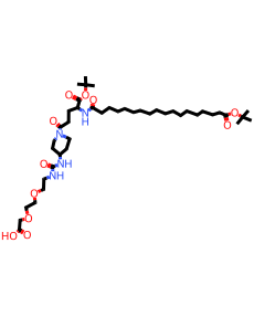 CC(C)(C)OC(=O)CCCCCCCCCCCCCCCCC(=O)NC(CCC(=O)N1CCC(NC(=O)NCCOCCOCC(=O)O)CC1)C(=O)OC(C)(C)C